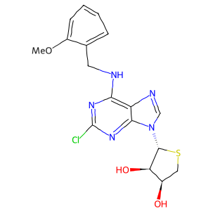 COc1ccccc1CNc1nc(Cl)nc2c1ncn2[C@@H]1SC[C@@H](O)[C@H]1O